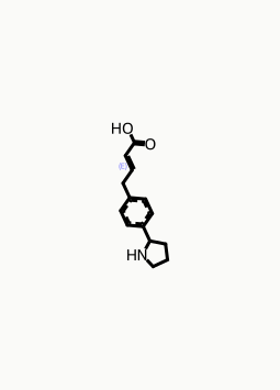 O=C(O)/C=C/Cc1ccc(C2CCCN2)cc1